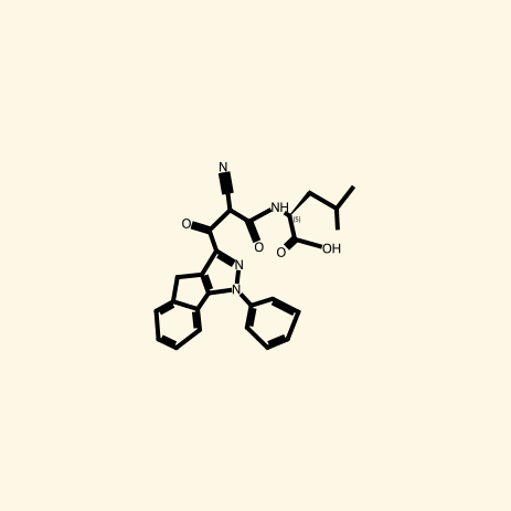 CC(C)C[C@H](NC(=O)C(C#N)C(=O)c1nn(-c2ccccc2)c2c1Cc1ccccc1-2)C(=O)O